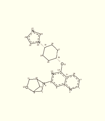 c1cnc2cc(N3CC4CC3CO4)nc(O[C@H]3CC[C@@H](n4ccnc4)CC3)c2c1